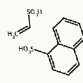 C=CS(=O)(=O)O.O=S(=O)(O)c1cccc2ccccc12